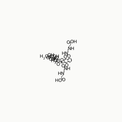 CC(=O)c1cc2c(OC(=O)NCCNCCC(=O)O)c3ccccc3c(OC(=O)NCCNCCC(=O)O)c2o1.CS(=O)(=O)O.CS(=O)(=O)O.O